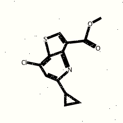 COC(=O)c1csc2c(Cl)cc(C3CC3)nc12